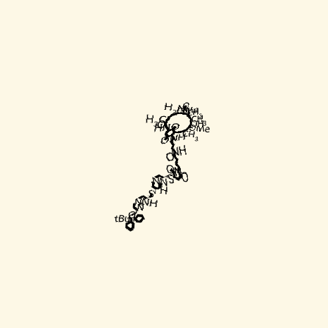 CO[C@H]1C=CC=C(C)C(=O)NC2=CC(=O)C(NCCCNC(=O)CCCN3C(=O)CC(SC[C@H]4CCN5CC[C@@H](CSC[C@H]6CCN7CC[C@H](CO[Si](c8ccccc8)(c8ccccc8)C(C)(C)C)N=C7N6)C=C5N4)C3=O)=C(C[C@@H](C)C[C@H](OC)[C@H](O)[C@@H](C)C=C(C)[C@@H]1OC(N)=O)C2=O